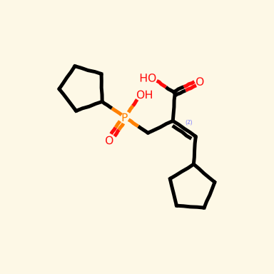 O=C(O)/C(=C/C1CCCC1)CP(=O)(O)C1CCCC1